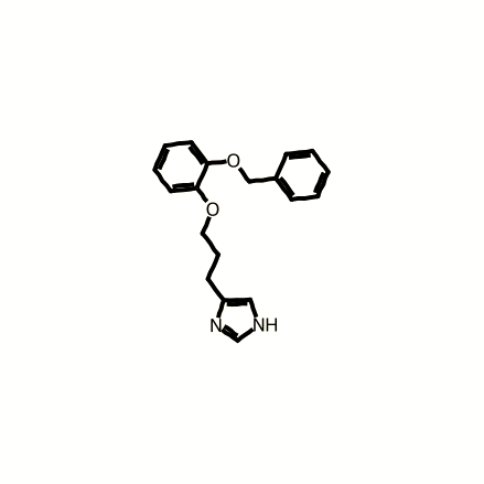 c1ccc(COc2ccccc2OCCCc2c[nH]cn2)cc1